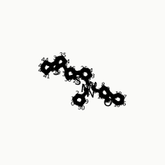 c1ccc(-c2nc(-c3ccc4c(c3)oc3ccccc34)nc(-c3cccc4c3sc3ccc(-c5cccc6c5sc5ccccc56)cc34)n2)cc1